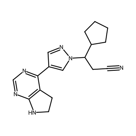 N#CCC(C1CCCC1)n1cc(-c2ncnc3c2CCN3)cn1